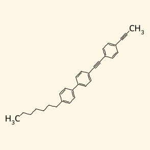 CC#Cc1ccc(C#Cc2ccc(-c3ccc(CCCCCCC)cc3)cc2)cc1